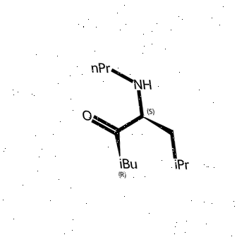 CCCN[C@@H](CC(C)C)C(=O)[C@H](C)CC